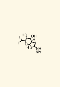 CCCNC1=N[C@@H]2[C@@H](O)[C@H](O)C(C(F)F)O[C@@H]2S1